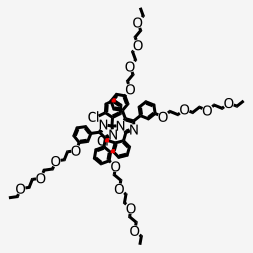 CCOCCOCCOCCOc1cccc(C2=NC(c3ccccc3Cl)(n3c(-c4ccccc4Cl)nc(-c4cccc(OCCOCCOCCOCC)c4)c3-c3cccc(OCCOCCOCCOCC)c3)N=C2c2cccc(OCCOCCOCCOCC)c2)c1